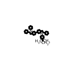 CC(C)(C)c1ccc(-n2c(-c3ccccc3)cc3ccc(-c4ccc5cc(-c6ccccc6)n(-c6ccccc6)c5c4)cc32)cc1